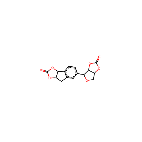 O=C1OC2Cc3cc(C4OCC5OC(=O)OC54)ccc3C2O1